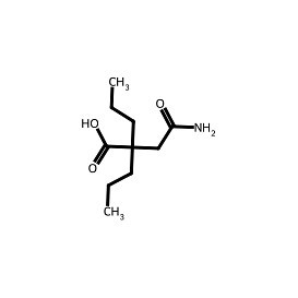 CCCC(CCC)(CC(N)=O)C(=O)O